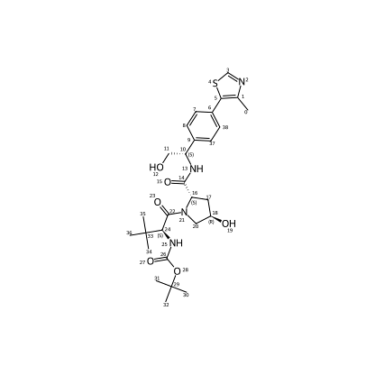 Cc1ncsc1-c1ccc([C@@H](CO)NC(=O)[C@@H]2C[C@@H](O)CN2C(=O)[C@@H](NC(=O)OC(C)(C)C)C(C)(C)C)cc1